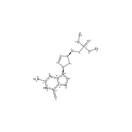 CCOP(=O)(CO[C@@H]1C=C[C@H](n2cnc3c(=O)[nH]c(N)nc32)C1)OCC